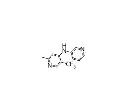 Cc1cc(Nc2cccnc2)c(C(F)(F)F)cn1